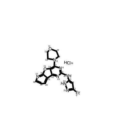 CCc1cc(Nc2nc(N3CCOCC3)c3oc4ncccc4c3n2)[nH]n1.Cl